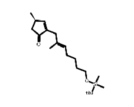 C/C(=C\CCCCO[Si](C)(C)C(C)(C)C)CC1=C[C@H](C)CC1=O